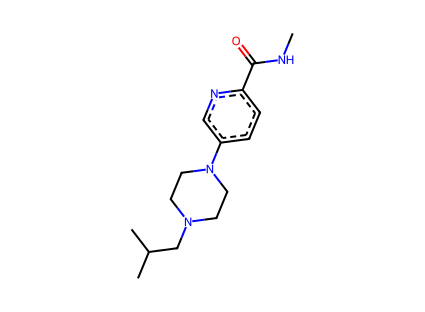 CNC(=O)c1ccc(N2CCN(CC(C)C)CC2)cn1